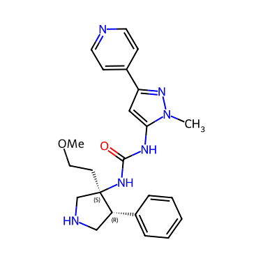 COCC[C@@]1(NC(=O)Nc2cc(-c3ccncc3)nn2C)CNC[C@H]1c1ccccc1